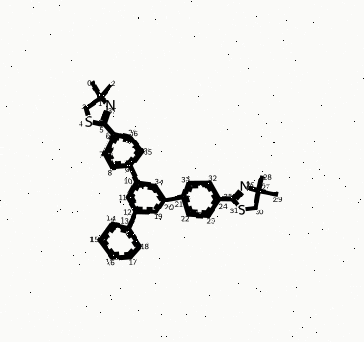 CC1(C)CSC(c2ccc(-c3cc(-c4ccccc4)cc(-c4ccc(C5=NC(C)(C)CS5)cc4)c3)cc2)=N1